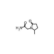 CC1CCC(=O)N1CC(N)=O